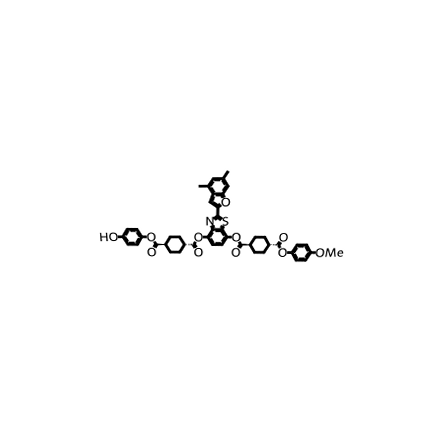 COc1ccc(OC(=O)[C@H]2CC[C@H](C(=O)Oc3ccc(OC(=O)[C@H]4CC[C@H](C(=O)Oc5ccc(O)cc5)CC4)c4nc(-c5cc6c(C)cc(C)cc6o5)sc34)CC2)cc1